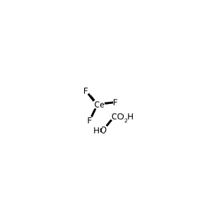 O=C(O)O.[F][Ce]([F])[F]